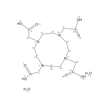 O.O.O=C(O)CN1CCN(CC(=O)O)CCN(CC(=O)O)CCN(CC(=O)O)CC1